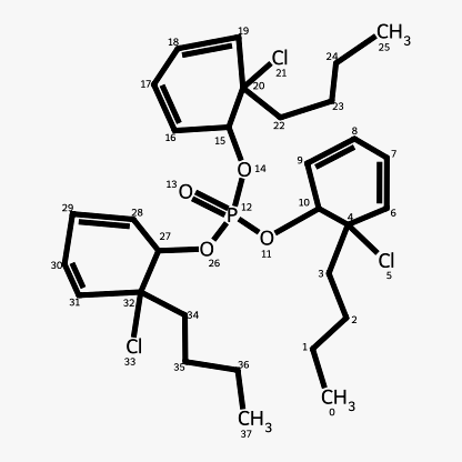 CCCCC1(Cl)C=CC=CC1OP(=O)(OC1C=CC=CC1(Cl)CCCC)OC1C=CC=CC1(Cl)CCCC